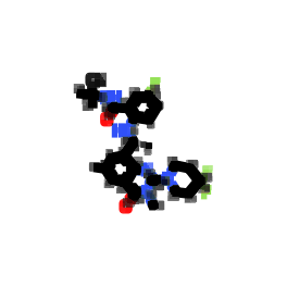 Cc1cc([C@@H](C)Nc2ccc(F)cc2C(=O)NC(C)(C)C#N)c2nc(N3CCC(F)(F)CC3)n(C)c(=O)c2c1